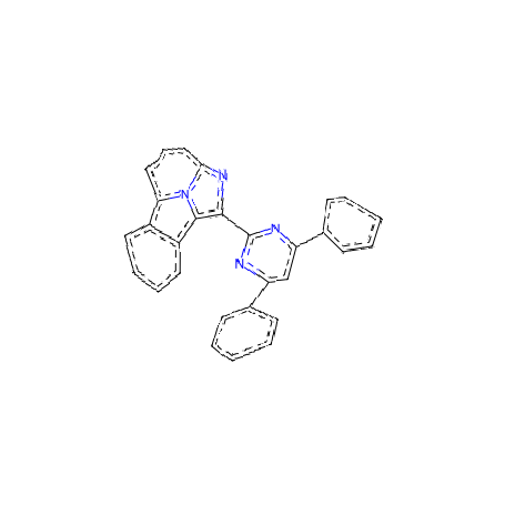 c1ccc(-c2cc(-c3ccccc3)nc(-c3nc4cccc5c6ccccc6c3n45)n2)cc1